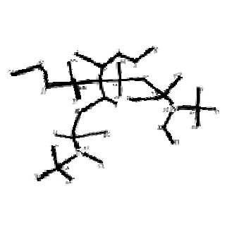 CCCC(C)C(C(C)CC(C)(C)N(C)C(C)(C)C)(C(C)(C)CCC)C(C)(C)CC(C)(C)N(CC)C(C)(C)C